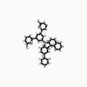 Cc1cccc(-c2cc(-c3cccc(C)n3)cc(-n3c4ccc(-c5ccccc5)cc4c4c5ccccc5ccc43)c2)n1